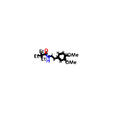 CCC(CC)(CC)C(=O)NCCc1ccc(OC)c(OC)c1